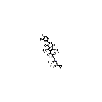 Cc1c(C(=O)C(=O)NC/C(N)=C/N(N)C2CC2)c(C)n(C)c1C(=O)Nc1ccc(F)c(F)c1